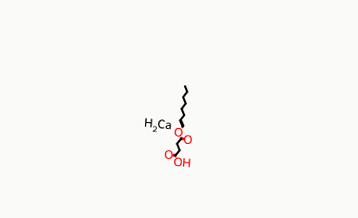 CCCCCCC=COC(=O)CCC(=O)O.[CaH2]